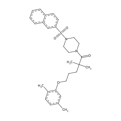 Cc1ccc(C)c(OCCCC(C)(C)C(=O)N2CCN(S(=O)(=O)c3ccc4ccccc4c3)CC2)c1